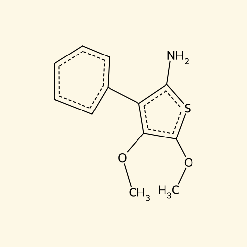 COc1sc(N)c(-c2ccccc2)c1OC